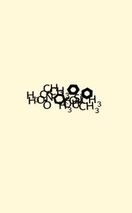 CC(C)(C)N(C(=O)O)[C@H]1CC[C@@](O)(CO[Si](c2ccccc2)(c2ccccc2)C(C)(C)C)CC1